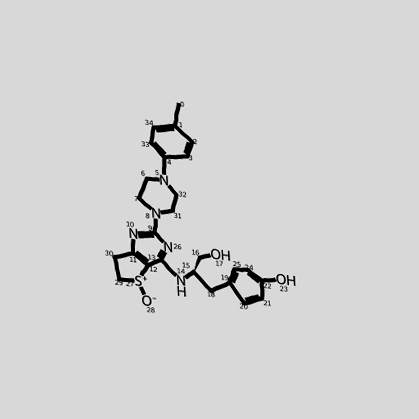 Cc1ccc(N2CCN(c3nc4c(c(N[C@@H](CO)Cc5ccc(O)cc5)n3)[S+]([O-])CC4)CC2)cc1